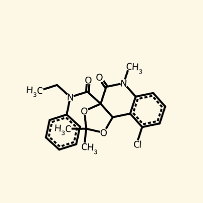 CCN(C(=O)C12OC(C)(C)OC1c1c(Cl)cccc1N(C)C2=O)c1ccccc1